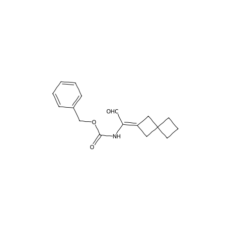 O=CC(NC(=O)OCc1ccccc1)=C1CC2(CCC2)C1